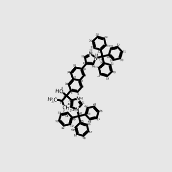 CC(C)C(O)(c1ccc2cc(-c3cnn(C(c4ccccc4)(c4ccccc4)c4ccccc4)c3)ccc2c1)c1cn(C(c2ccccc2)(c2ccccc2)c2ccccc2)cn1